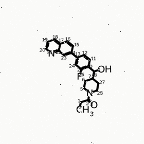 CCC(=O)N1CCC(C(O)c2ccc(-c3ccc4cccnc4c3)cc2F)CC1